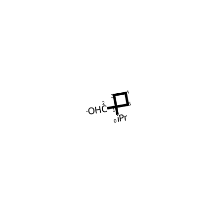 CC(C)C1([C]=O)CCC1